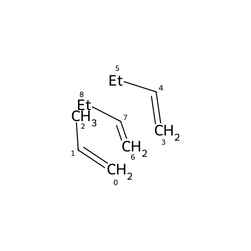 C=CC.C=CCC.C=CCC